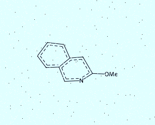 COc1cc2c[c]ccc2cn1